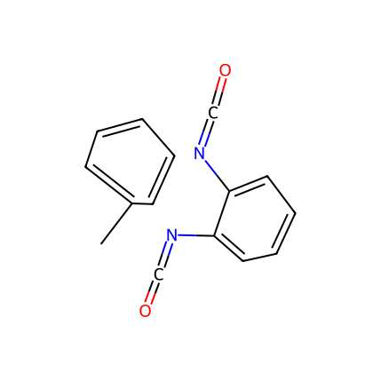 Cc1ccccc1.O=C=Nc1ccccc1N=C=O